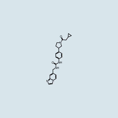 O=C(NCc1ccn2ccnc2c1)Nc1ccc(C2CCN(C(=O)CC3CC3)C2)cc1